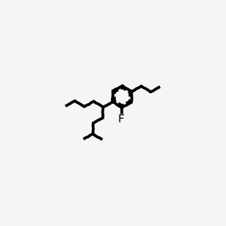 CCCCC(CCC(C)C)c1ccc(CCC)cc1F